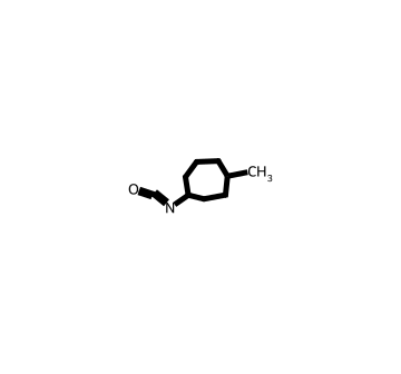 CC1CCCC(N=C=O)CC1